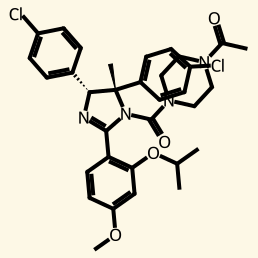 COc1ccc(C2=N[C@H](c3ccc(Cl)cc3)[C@](C)(c3ccc(Cl)cc3)N2C(=O)N2CCN(C(C)=O)CC2)c(OC(C)C)c1